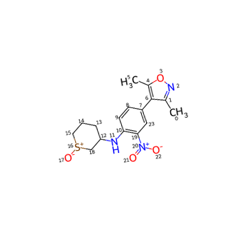 Cc1noc(C)c1-c1ccc(NC2CCC[S+]([O-])C2)c([N+](=O)[O-])c1